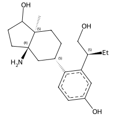 CC[C@H](CO)c1cc(O)ccc1[C@H]1CC[C@]2(C)C(O)CC[C@@]2(N)C1